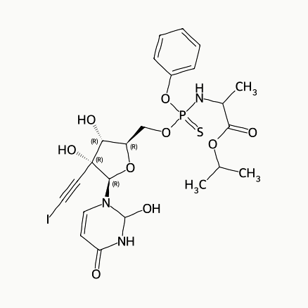 CC(C)OC(=O)C(C)NP(=S)(OC[C@H]1O[C@@H](N2C=CC(=O)NC2O)[C@@](O)(C#CI)[C@@H]1O)Oc1ccccc1